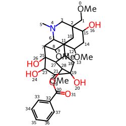 COCC12CN(C)C3C4C(OC)C1C3(C(OC)CC2O)C1CC2(O)C(OC)C(O)C4(O)C1C2OC(=O)c1ccccc1